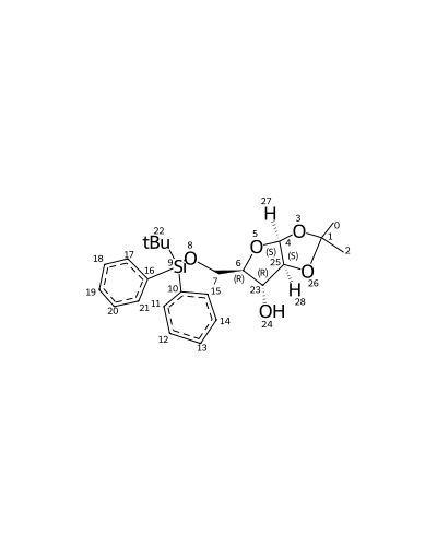 CC1(C)O[C@@H]2O[C@H](CO[Si](c3ccccc3)(c3ccccc3)C(C)(C)C)[C@@H](O)[C@@H]2O1